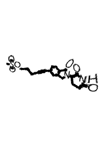 CS(=O)(=O)OCCCC#Cc1ccc2c(c1)CN(C1CCC(=O)NC1=O)C2=O